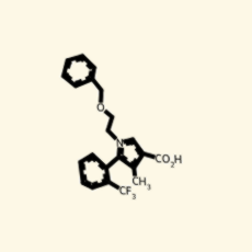 Cc1c(C(=O)O)cn(CCOCc2ccccc2)c1-c1ccccc1C(F)(F)F